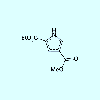 CCOC(=O)c1cc(C(=O)OC)c[nH]1